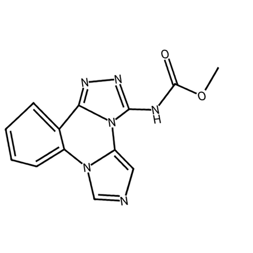 COC(=O)Nc1nnc2c3ccccc3n3cncc3n12